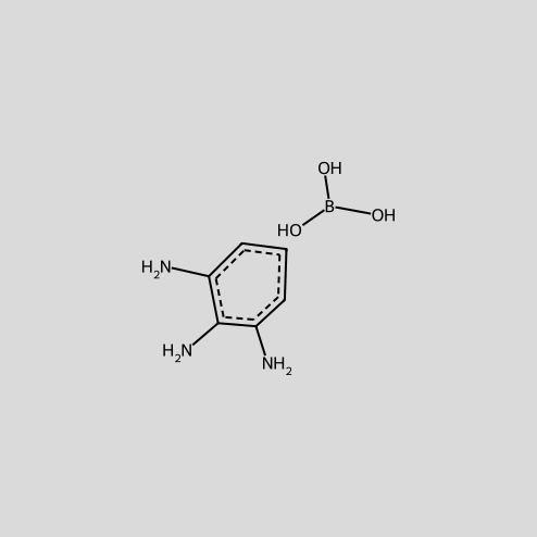 Nc1cccc(N)c1N.OB(O)O